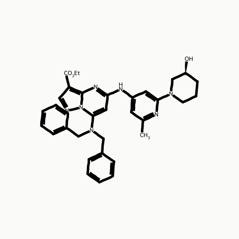 CCOC(=O)c1cnn2c(N(Cc3ccccc3)Cc3ccccc3)cc(Nc3cc(C)nc(N4CCC[C@H](O)C4)c3)nc12